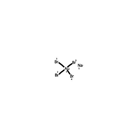 [Br][Au]([Br])([Br])[Br].[Na]